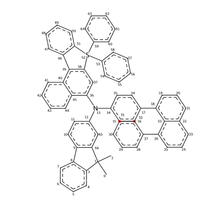 CC1(C)c2ccccc2-c2ccc(N(c3ccc(-c4cccc5cccc(-c6ccccc6)c45)cc3)c3cc4c(c5ccccc35)-c3ccccc3S4(c3ccccc3)c3ccccc3)cc21